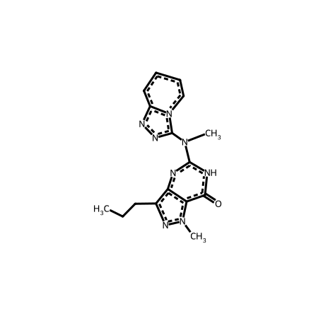 CCCc1nn(C)c2c(=O)[nH]c(N(C)c3nnc4ccccn34)nc12